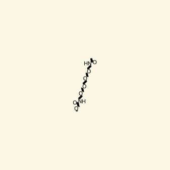 COCC(=O)NCCOCCOCCOCCOCCNC(C)=O